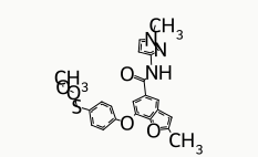 COOSc1ccc(Oc2cc(C(=O)Nc3ccn(C)n3)cc3cc(C)oc23)cc1